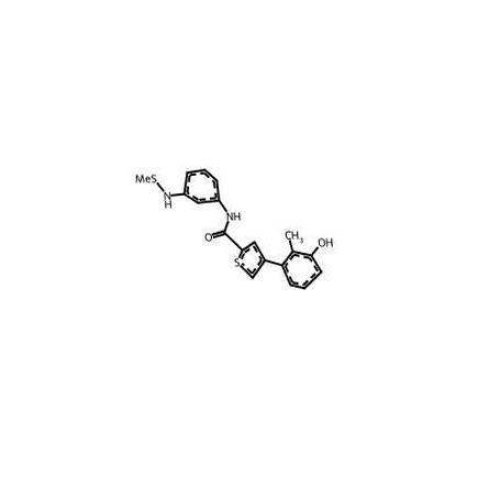 CSNc1cccc(NC(=O)c2cc(-c3cccc(O)c3C)cs2)c1